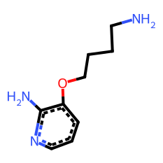 NCCCCOc1cccnc1N